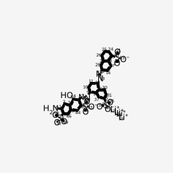 Nc1cc2c(O)c(N=Nc3ccc(N=Nc4ccc5c(S(=O)(=O)[O-])cccc5c4)c4ccc(S(=O)(=O)[O-])cc34)c(S(=O)(=O)[O-])cc2cc1S(=O)(=O)[O-].[Li+].[Li+].[Li+].[Li+]